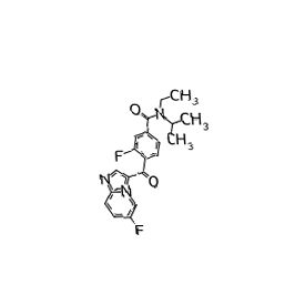 CCN(C(=O)c1ccc(C(=O)c2cnc3ccc(F)cn23)c(F)c1)C(C)C